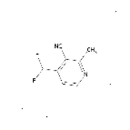 Cc1nccc(C(F)F)c1C#N